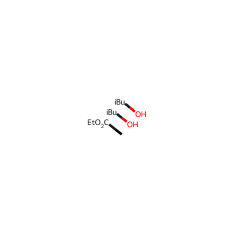 CCC(C)O.CCC(C)O.CCOC(C)=O